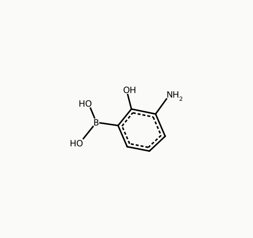 Nc1cccc(B(O)O)c1O